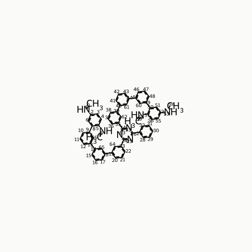 CNc1ccc(NC)c(-c2cccc(-c3cccc(-c4cccc(-c5nc(-c6ccccc6)nc(-c6cccc(-c7cccc(-c8cccc(-c9cc(NC)ccc9NC)c8)c7)c6)n5)c4)c3)c2)c1